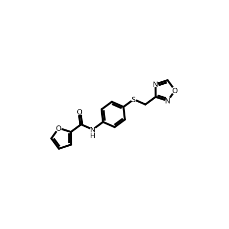 O=C(Nc1ccc(SCc2ncon2)cc1)c1ccco1